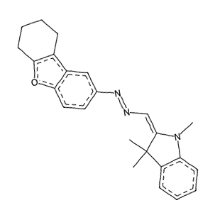 CN1C(=CN=Nc2ccc3oc4c(c3c2)CCCC4)C(C)(C)c2ccccc21